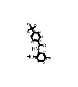 Cc1ccc(O)c(NC(=O)c2ccc(C(C)(C)C)cc2)c1